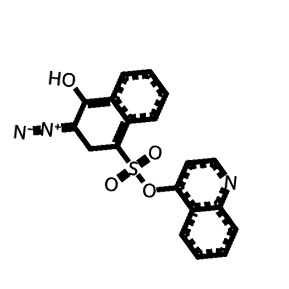 [N-]=[N+]=C1CC(S(=O)(=O)Oc2ccnc3ccccc23)=c2ccccc2=C1O